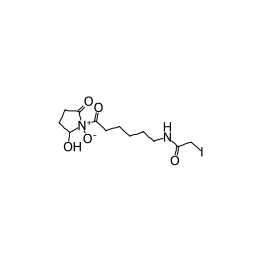 O=C(CI)NCCCCCC(=O)[N+]1([O-])C(=O)CCC1O